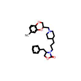 N#Cc1ccc2c(c1)OC(CN1CCC(CCCN3C(=O)OCC3Cc3ccccc3)CC1)CO2